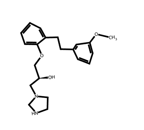 COc1cccc(CCc2ccccc2OC[C@@H](O)CN2CCNC2)c1